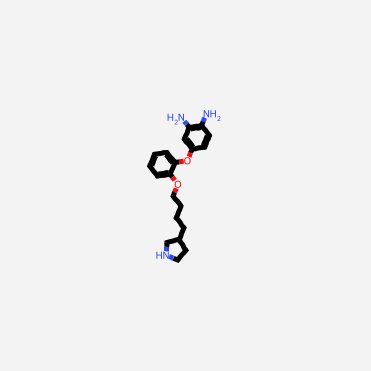 Nc1ccc(Oc2ccccc2OCCCCC2CCNC2)cc1N